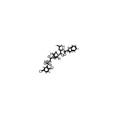 CC(C)CC(NC(=O)c1cc2ccccc2s1)C(=O)N1C[C@@H]2C[C@H]1CN2C(=O)CNS(=O)(=O)c1cc(Cl)ccc1Cl